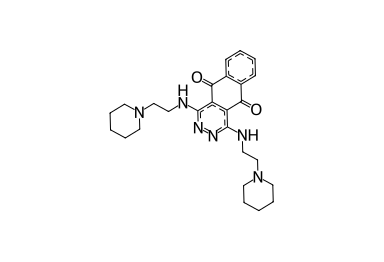 O=C1c2ccccc2C(=O)c2c(NCCN3CCCCC3)nnc(NCCN3CCCCC3)c21